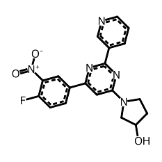 O=[N+]([O-])c1cc(-c2cc(N3CCC(O)C3)nc(-c3cccnc3)n2)ccc1F